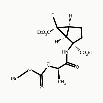 CCOC(=O)[C@@]1(F)[C@H]2[C@@H]1CC[C@]2(NC(=O)[C@@H](C)NC(=O)OC(C)(C)C)C(=O)OCC